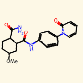 COC1CCC(C(N)=O)C(C(=O)Nc2ccc(-n3ccccc3=O)cc2)C1